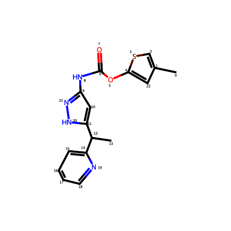 Cc1csc(OC(=O)Nc2cc(C(C)c3ccccn3)[nH]n2)c1